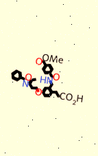 COC(=O)c1ccc(C(=O)NCc2cc(OCCc3nc(-c4ccccc4)oc3C)ccc2CCC(=O)O)cc1